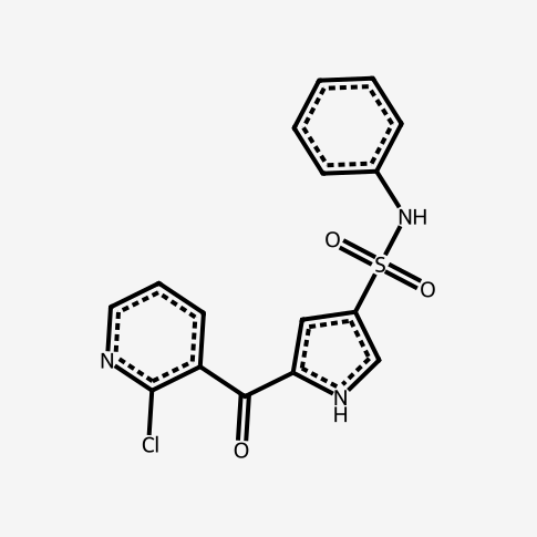 O=C(c1cc(S(=O)(=O)Nc2ccccc2)c[nH]1)c1cccnc1Cl